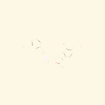 COC(=O)C(CCCN(C)CCc1ccc(C)c(OC)c1)(c1ccc(CO)c(CO)c1)C(C)C